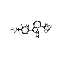 Cc1nc(-c2c[nH]c3c(-c4nnco4)cccc23)ccc1N